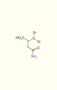 NC(=O)CC(C(=O)O)N(Br)Br